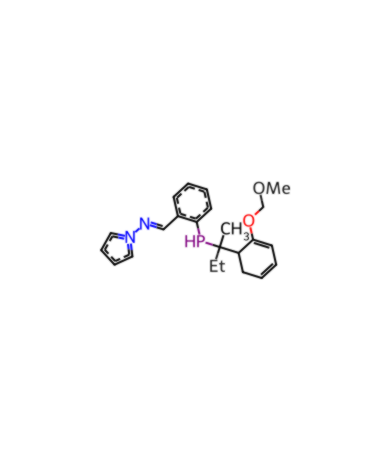 CCC(C)(Pc1ccccc1/C=N/n1cccc1)C1CC=CC=C1OCOC